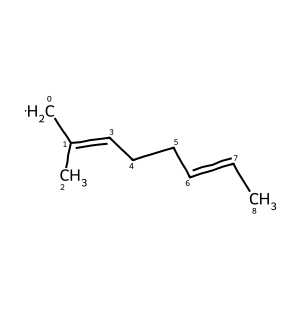 [CH2]C(C)=CCCC=CC